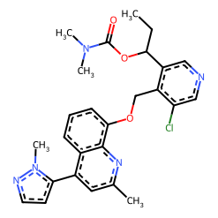 CCC(OC(=O)N(C)C)c1cncc(Cl)c1COc1cccc2c(-c3ccnn3C)cc(C)nc12